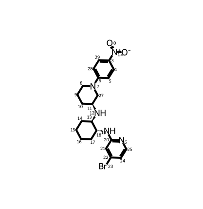 O=[N+]([O-])c1ccc(N2CCC[C@H](N[C@@H]3CCCC[C@H]3Nc3cc(Br)ccn3)C2)cc1